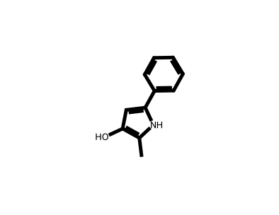 Cc1[nH]c(-c2ccccc2)cc1O